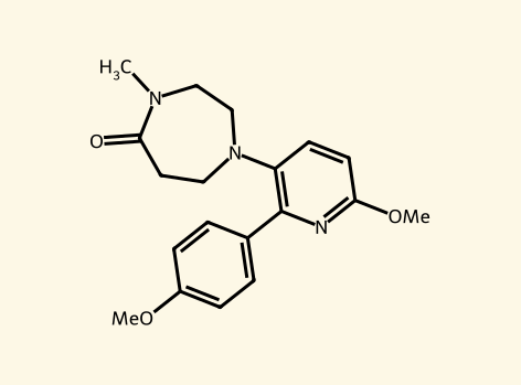 COc1ccc(-c2nc(OC)ccc2N2CCC(=O)N(C)CC2)cc1